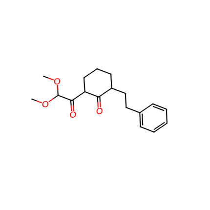 COC(OC)C(=O)C1CCCC(CCc2ccccc2)C1=O